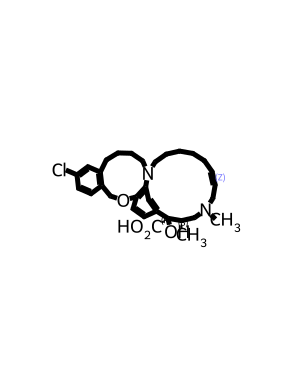 C[C@H]1CN(C)C/C=C\CCCCCN2CCCCc3cc(Cl)ccc3COc3ccc(cc32)[C@@]1(O)C(=O)O